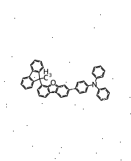 CC1(c2cccc3c2oc2cc(-c4ccc(N(c5ccccc5)c5ccccc5)cc4)ccc23)c2ccccc2-c2ccccc21